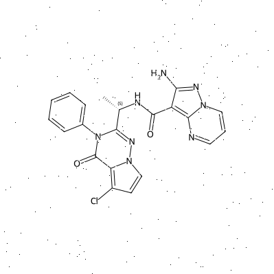 C[C@H](NC(=O)c1c(N)nn2cccnc12)c1nn2ccc(Cl)c2c(=O)n1-c1ccccc1